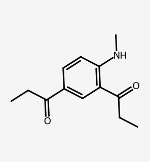 CCC(=O)c1ccc(NC)c(C(=O)CC)c1